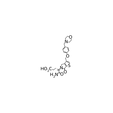 NC(=O)[C@H](CCC(=O)O)N1Cc2c(COc3ccc(CN4CCOCC4)cc3)csc2C1=O